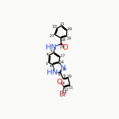 O=C(Nc1ccc2[nH]c(-c3ccc(Br)o3)nc2c1)c1ccccc1